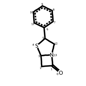 O=C1CC2SC(c3ccccc3)CN12